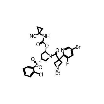 CCN1CC(C(=O)N2C[C@H](S(=O)(=O)c3ccccc3Cl)C[C@@H]2OC(=O)NC2(C#N)CC2)(c2ncc(Br)cc2F)C1